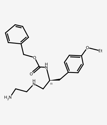 CCOc1ccc(C[C@@H](CNCCN)NC(=O)OCc2ccccc2)cc1